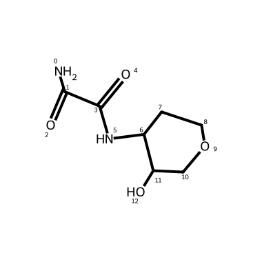 NC(=O)C(=O)NC1CCOCC1O